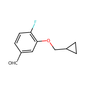 O=Cc1ccc(F)c(OCC2CC2)c1